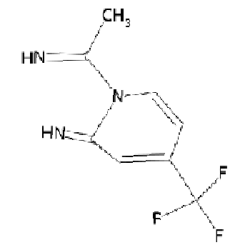 CC(=N)n1ccc(C(F)(F)F)cc1=N